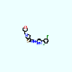 Fc1ccc(F)c(-c2ccc(NCc3csc4c3CCN(CC3CCOCC3)C4)nn2)c1